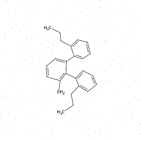 [CH2]c1cccc(-c2ccccc2CCC)c1-c1ccccc1CCC